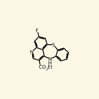 CCOC(=O)c1cnc2cc(F)cc3c2c1Nc1ccccc1S3